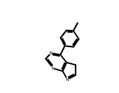 Cc1ccc(-c2ncnc3c2CC=N3)cc1